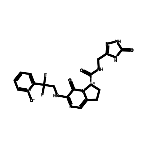 O=C(NCc1n[nH]c(=O)[nH]1)[C@@H]1CCc2cnc(NCC(F)(F)c3cccc[n+]3[O-])c(=O)n21